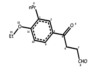 CCCc1cc(C(=O)CCC=O)ccc1OCC